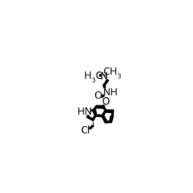 CN(C)CCNC(=O)Oc1cc2c(c3ccccc13)[C@H](CCl)CN2